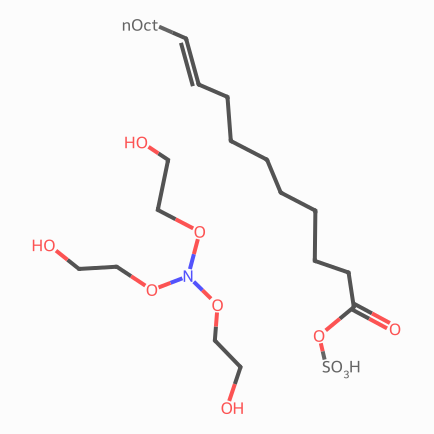 CCCCCCCCC=CCCCCCCCC(=O)OS(=O)(=O)O.OCCON(OCCO)OCCO